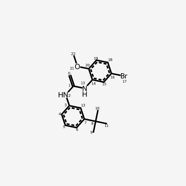 C=C(Nc1cccc(C(C)(C)C)c1)Nc1cc(Br)ccc1OC